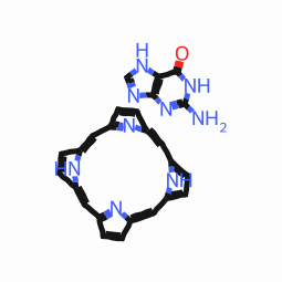 C1=Cc2cc3ccc(cc4nc(cc5ccc(cc1n2)[nH]5)C=C4)[nH]3.Nc1nc2nc[nH]c2c(=O)[nH]1